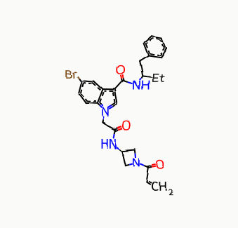 C=CC(=O)N1CC(NC(=O)Cn2cc(C(=O)NC(CC)Cc3ccccc3)c3cc(Br)ccc32)C1